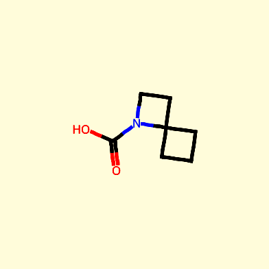 O=C(O)N1CCC12CCC2